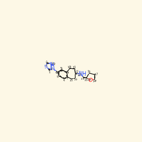 c1ncn(-c2ccc3c(c2)CCC(NCC2CCCO2)CC3)n1